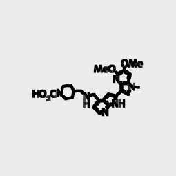 COc1cc2c(nc1OC)c(-c1cc3c(CNCC4CCN(C(=O)O)CC4)ccnc3[nH]1)cn2C